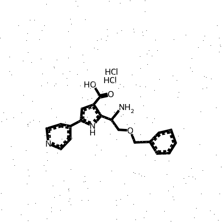 Cl.Cl.NC(COCc1ccccc1)c1[nH]c(-c2ccncc2)cc1C(=O)O